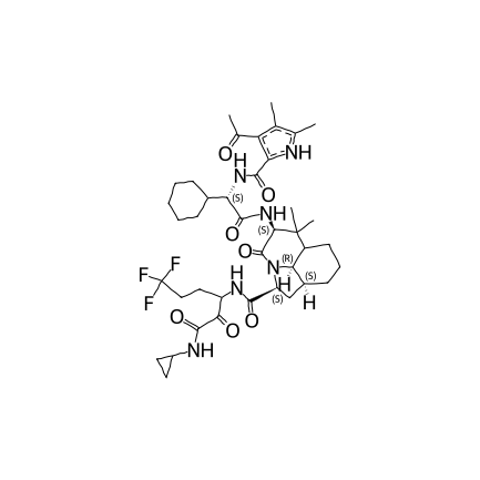 CC(=O)c1c(C(=O)N[C@H](C(=O)N[C@@H]2C(=O)N3[C@H](C(=O)NC(CCC(F)(F)F)C(=O)C(=O)NC4CC4)C[C@@H]4CCCC([C@@H]43)C2(C)C)C2CCCCC2)[nH]c(C)c1C